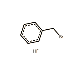 BrCc1ccccc1.F